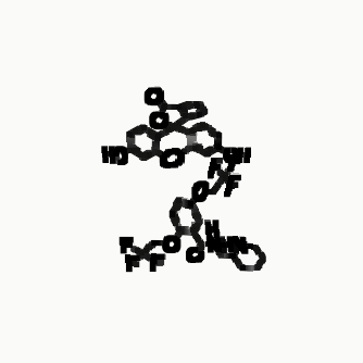 O=C(NCC1CCCCN1)c1cc(OCC(F)(F)F)ccc1OCC(F)(F)F.O=C1OC2(c3ccc(O)cc3Oc3cc(O)ccc32)c2ccccc21